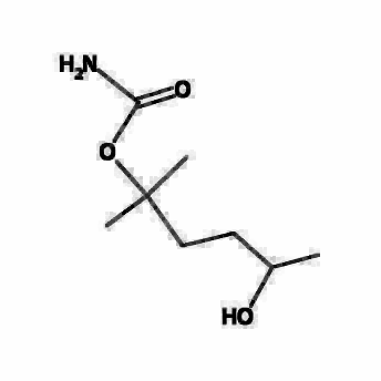 CC(O)CCC(C)(C)OC(N)=O